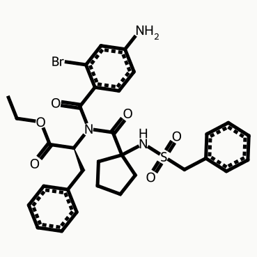 CCOC(=O)[C@H](Cc1ccccc1)N(C(=O)c1ccc(N)cc1Br)C(=O)C1(NS(=O)(=O)Cc2ccccc2)CCCC1